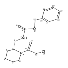 O=C(NC[C@H]1CCCCN1C(=O)CCl)OCc1ccccc1